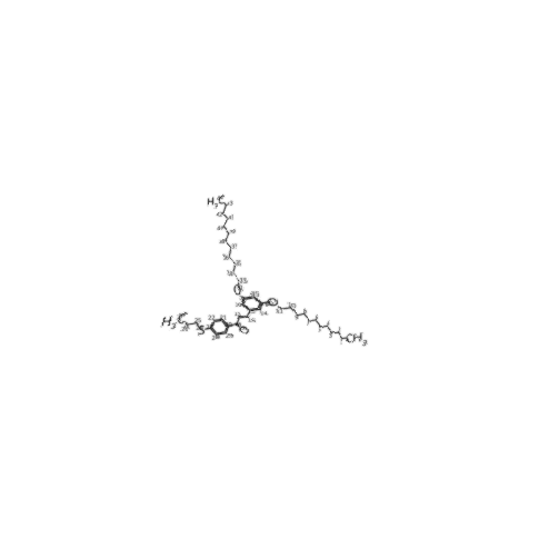 CCCCCCCCCCCCOc1cc(C=CC(=O)c2ccc(SCCC)cc2)cc(OCCCCCCCCCCCC)c1